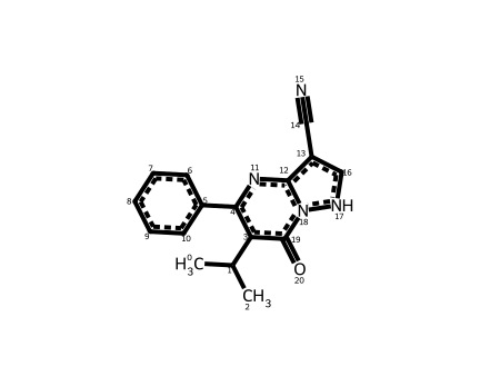 CC(C)c1c(-c2ccccc2)nc2c(C#N)c[nH]n2c1=O